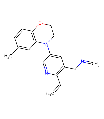 C=Cc1ncc(N2CCOc3ccc(C)cc32)cc1CN=C